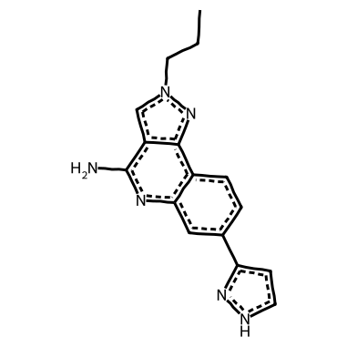 CCCn1cc2c(N)nc3cc(-c4cc[nH]n4)ccc3c2n1